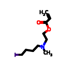 C=CC(=O)OCCN(C)CCCCI